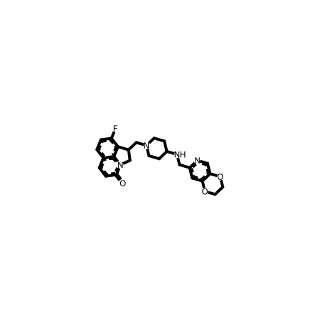 O=c1ccc2ccc(F)c3c2n1CC3CN1CCC(NCc2cc3c(cn2)OCCO3)CC1